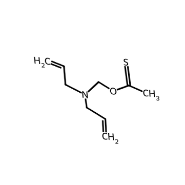 C=CCN(CC=C)COC(C)=S